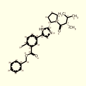 CC(C)[C@H](C)C(=O)N1CCC[C@H]1c1ncc(-c2ccc(I)c(C(=O)OCc3ccccc3)c2)[nH]1